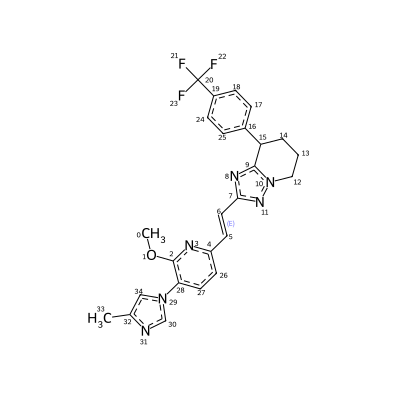 COc1nc(/C=C/c2nc3n(n2)CCCC3c2ccc(C(F)(F)F)cc2)ccc1-n1cnc(C)c1